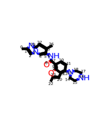 Cc1cn2cc(NC(=O)c3ccc(N4CCNCC4)c4cc(C)oc34)c(C)cc2n1